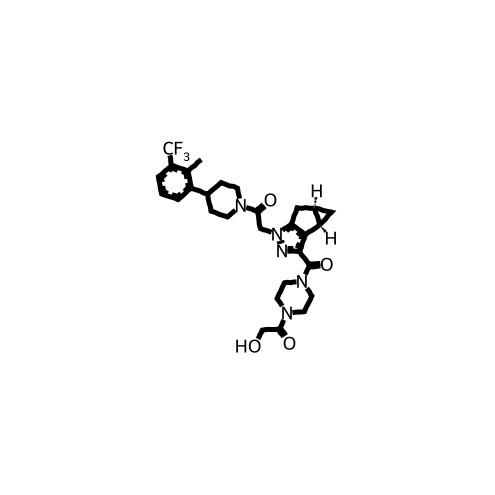 Cc1c(C2CCN(C(=O)Cn3nc(C(=O)N4CCN(C(=O)CO)CC4)c4c3C[C@H]3C[C@@H]43)CC2)cccc1C(F)(F)F